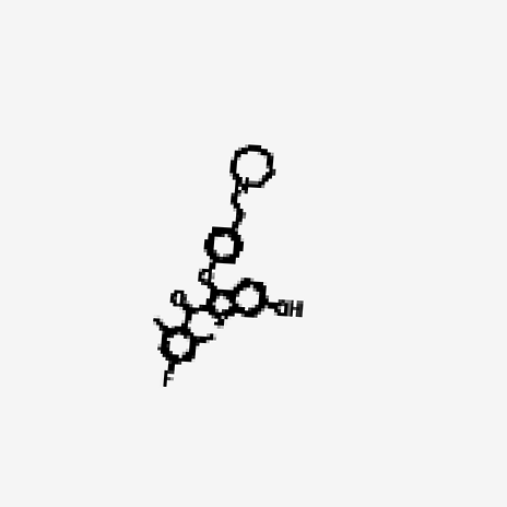 Cc1cc(F)cc(C)c1C(=O)c1sc2cc(O)ccc2c1Oc1ccc(CCN2CCCCCC2)cc1